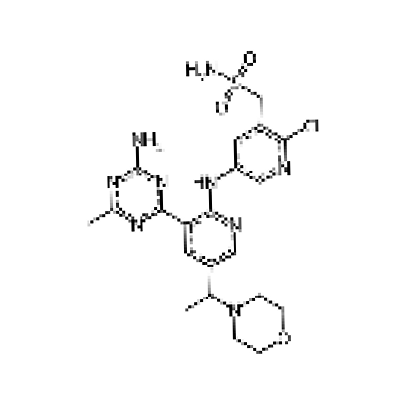 Cc1nc(N)nc(-c2cc(C(C)N3CCOCC3)cnc2Nc2cnc(Cl)c(CS(N)(=O)=O)c2)n1